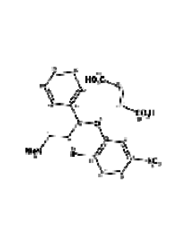 CNCCC(Oc1cc([N+](=O)[O-])ccc1Br)c1ccccc1.O=C(O)C=CC(=O)O